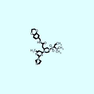 C=CC(N(C)C)S(=O)(=O)N1CCN(c2cc(C)nc(-n3ccnc3)n2)C(CC(=O)NCc2ccc3c(c2)OCCO3)C1